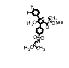 CON(C)C(=O)c1sc(-c2ccc(F)c(F)c2)c(C)c1-c1ccc(S(=O)(=O)N=CN(C)C)cc1